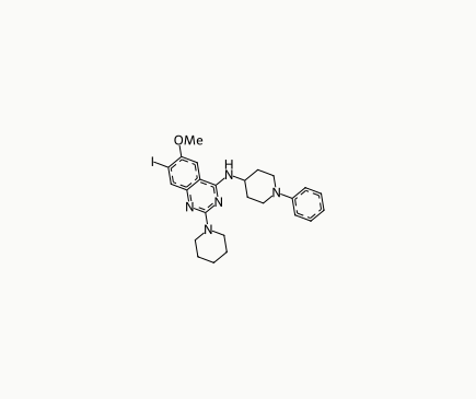 COc1cc2c(NC3CCN(c4ccccc4)CC3)nc(N3CCCCC3)nc2cc1I